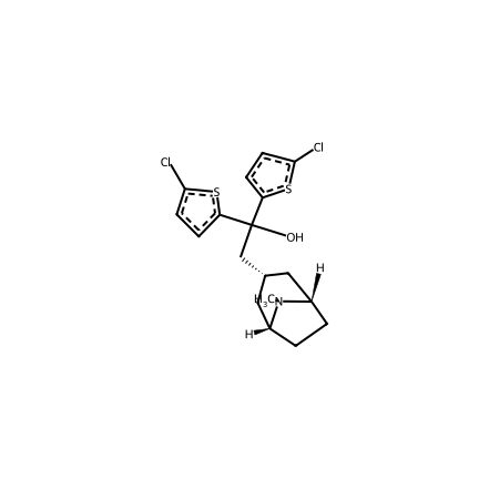 CN1[C@@H]2CC[C@H]1C[C@@H](CC(O)(c1ccc(Cl)s1)c1ccc(Cl)s1)C2